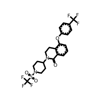 O=C1c2cccc(Oc3ccc(C(F)(F)F)cc3)c2CCN1C1CCN(S(=O)(=O)C(F)(F)F)CC1